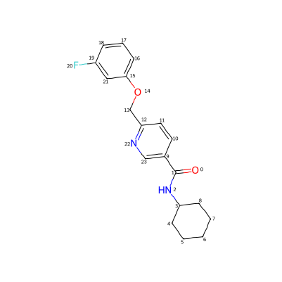 O=C(NC1CCCCC1)c1ccc(COc2cccc(F)c2)nc1